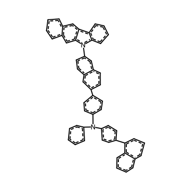 c1ccc(N(c2ccc(-c3ccc4cc(-n5c6ccccc6c6cc7ccccc7cc65)ccc4c3)cc2)c2ccc(-c3cccc4ccccc34)cc2)cc1